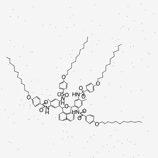 CCCCCCCCCCCCOc1ccc(S(=O)(=O)Nc2cc(C(OC(c3ccccc3)c3cc(NS(=O)(=O)c4ccc(OCCCCCCCCCCCC)cc4)c(C)cc3NS(=O)(=O)c3ccc(OCCCCCCCCCCCC)cc3)c3ccccc3)c(NS(=O)(=O)c3ccc(OCCCCCCCCCCCC)cc3)cc2C)cc1